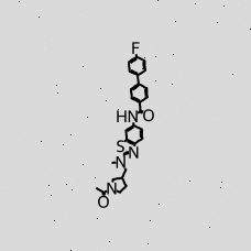 CC(=O)N1CCC(CN(C)c2nc3ccc(NC(=O)c4ccc(-c5ccc(F)cc5)cc4)cc3s2)C1